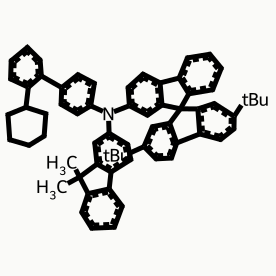 CC(C)(C)c1ccc2c(c1)C1(c3ccccc3-c3ccc(N(c4ccc(-c5ccccc5C5CCCCC5)cc4)c4ccc5c(c4)C(C)(C)c4ccccc4-5)cc31)c1cc(C(C)(C)C)ccc1-2